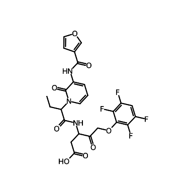 CCC(C(=O)NC(CC(=O)O)C(=O)COc1c(F)c(F)cc(F)c1F)n1cccc(NC(=O)c2ccoc2)c1=O